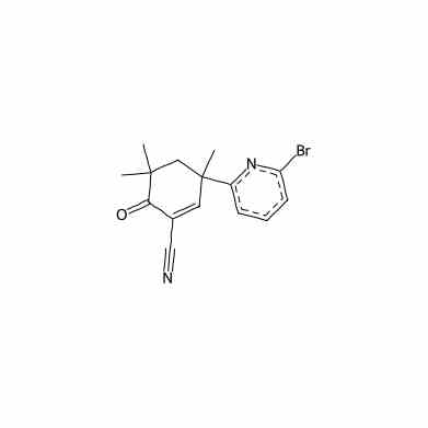 CC1(C)CC(C)(c2cccc(Br)n2)C=C(C#N)C1=O